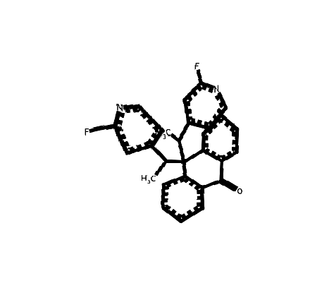 CC(c1ccnc(F)c1)C1(C(C)c2ccnc(F)c2)c2ccccc2C(=O)c2ccccc21